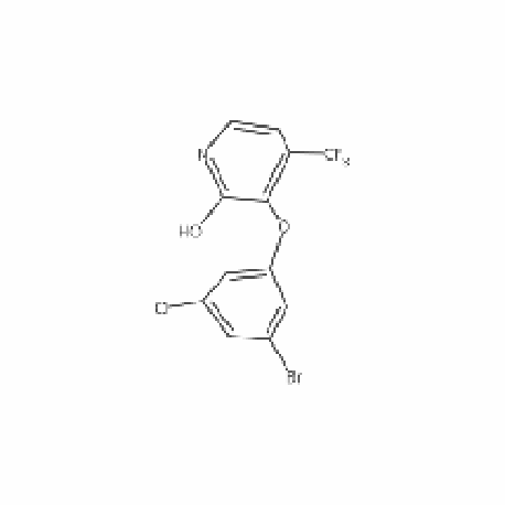 Oc1nccc(C(F)(F)F)c1Oc1cc(Cl)cc(Br)c1